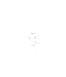 CCOC(=O)Nc1ccc(CC[O])cc1OC